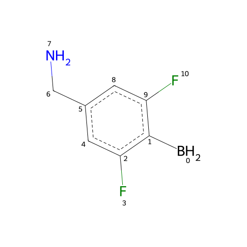 Bc1c(F)cc(CN)cc1F